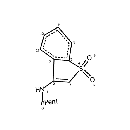 CCCCCNC1=CS(=O)(=O)c2ccccc21